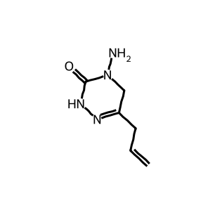 C=CCC1=NNC(=O)N(N)C1